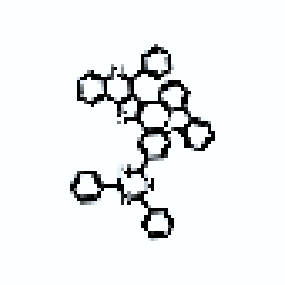 c1ccc(-c2nc(-c3ccccc3)nc(-c3cccc(-c4sc5c(c(-c6ccccc6)nc6ccccc65)c4-c4cccc5c4sc4ccccc45)c3)n2)cc1